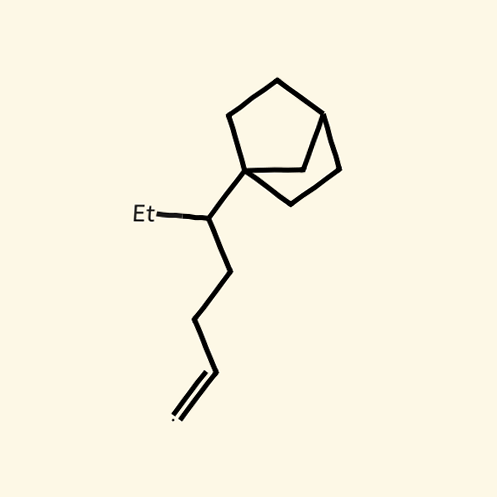 [CH]=CCCC(CC)C12CCC(CC1)C2